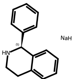 [NaH].c1ccc([C@@H]2NCCc3ccccc32)cc1